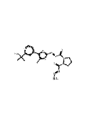 Cc1nc(N=NC(=O)N2CCC[C@H]2C(=O)N=NN)sc1-c1ccnc(C(C)(C)C(F)(F)F)c1